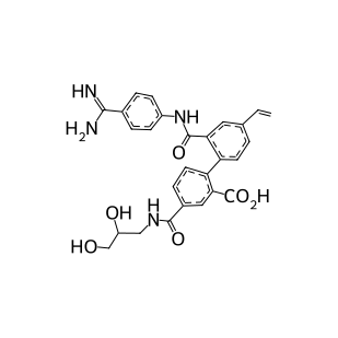 C=Cc1ccc(-c2ccc(C(=O)NCC(O)CO)cc2C(=O)O)c(C(=O)Nc2ccc(C(=N)N)cc2)c1